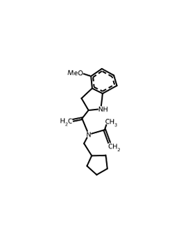 C=C(C)N(CC1CCCC1)C(=C)C1Cc2c(cccc2OC)N1